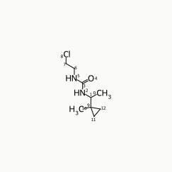 CC(NC(=O)NCCCl)C1(C)CC1